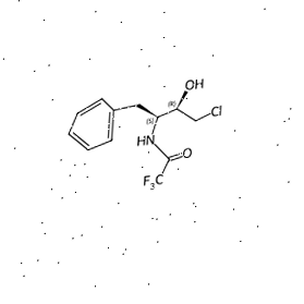 O=C(N[C@@H](Cc1ccccc1)[C@@H](O)CCl)C(F)(F)F